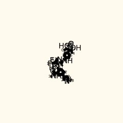 CCC(CC)(c1ccc(Nc2ncc(C(F)(F)F)c(Nc3ccc(-c4cnn(C)c4)cc3C(=O)NC)n2)cc1)P(=O)(O)O